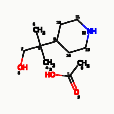 CC(=O)O.CC(C)(CO)C1CCNCC1